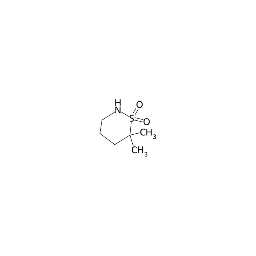 CC1(C)CCCNS1(=O)=O